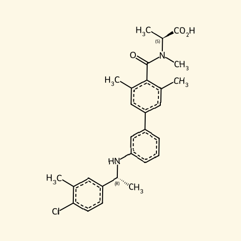 Cc1cc([C@@H](C)Nc2cccc(-c3cc(C)c(C(=O)N(C)[C@@H](C)C(=O)O)c(C)c3)c2)ccc1Cl